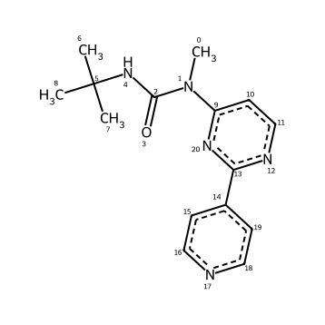 CN(C(=O)NC(C)(C)C)c1ccnc(-c2ccncc2)n1